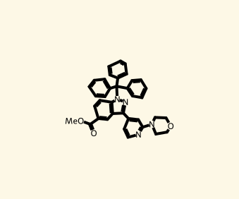 COC(=O)c1ccc2c(c1)c(-c1ccnc(N3CCOCC3)c1)nn2C(c1ccccc1)(c1ccccc1)c1ccccc1